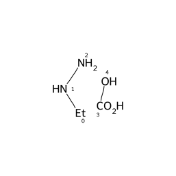 CCNN.O=C(O)O